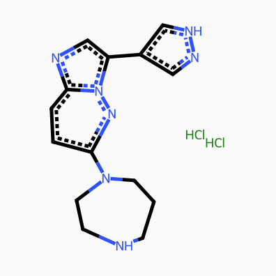 Cl.Cl.c1n[nH]cc1-c1cnc2ccc(N3CCCNCC3)nn12